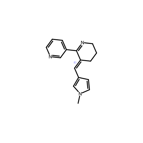 Cn1ccc(/C=C2\CCCN=C2c2cccnc2)c1